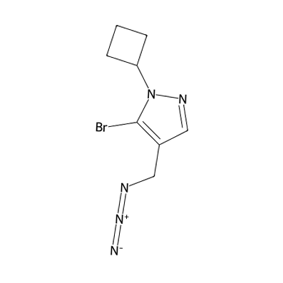 [N-]=[N+]=NCc1cnn(C2CCC2)c1Br